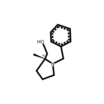 C[C@]1(CO)CCCN1Cc1ccccc1